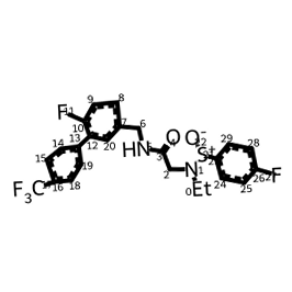 CCN(CC(=O)NCc1ccc(F)c(-c2ccc(C(F)(F)F)cc2)c1)[S+]([O-])c1ccc(F)cc1